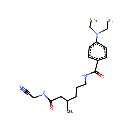 CCN(CC)c1ccc(C(=O)NCCCC(C)CC(=O)NCC#N)cc1